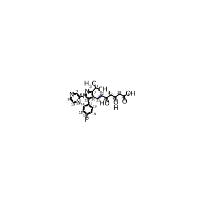 CC(C)c1nn(-c2cnccn2)c(-c2ccc(F)cc2)c1/C=C/[C@H](O)C[C@H](O)CC(=O)O